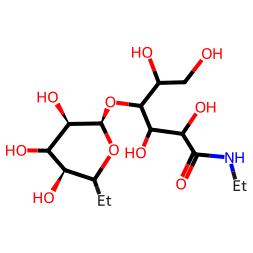 CCNC(=O)C(O)C(O)C(O[C@H]1OC(CC)[C@@H](O)C(O)[C@H]1O)C(O)CO